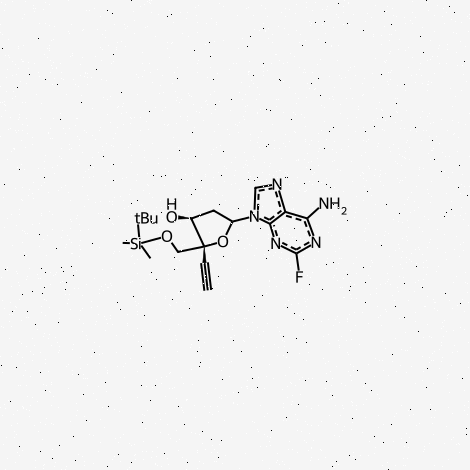 C#C[C@]1(CO[Si](C)(C)C(C)(C)C)OC(n2cnc3c(N)nc(F)nc32)C[C@@H]1O